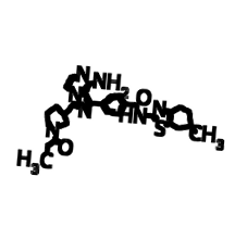 CCC(=O)N1CCCC(c2nc(-c3ccc(C(=O)Nc4nc5c(s4)CC(C)CC5)cc3)c3c(N)nccn23)C1